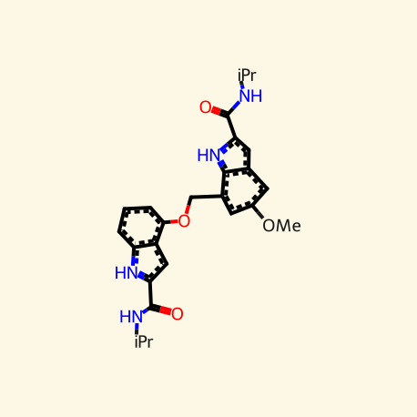 COc1cc(COc2cccc3[nH]c(C(=O)NC(C)C)cc23)c2[nH]c(C(=O)NC(C)C)cc2c1